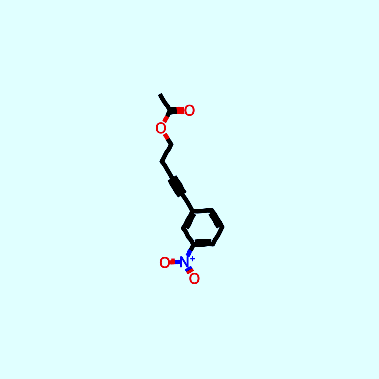 CC(=O)OCCC#Cc1cccc([N+](=O)[O-])c1